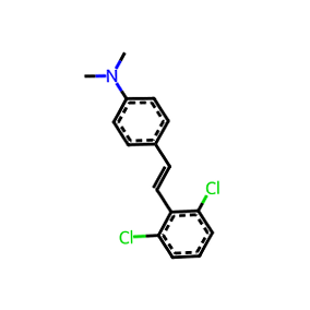 CN(C)c1ccc(C=Cc2c(Cl)cccc2Cl)cc1